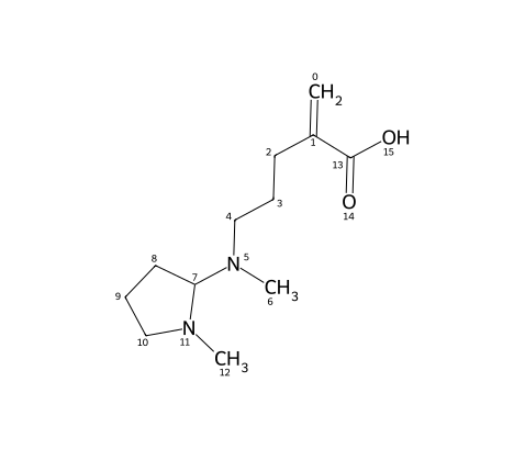 C=C(CCCN(C)C1CCCN1C)C(=O)O